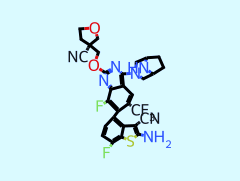 N#Cc1c(N)sc2c(F)ccc(-c3c(C(F)(F)F)cc4c(N5CC6CCC(C5)N6)nc(OCC5(C#N)CCOC5)nc4c3F)c12